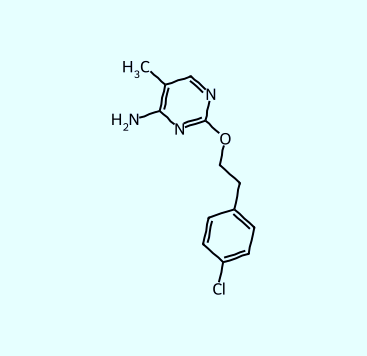 Cc1cnc(OCCc2ccc(Cl)cc2)nc1N